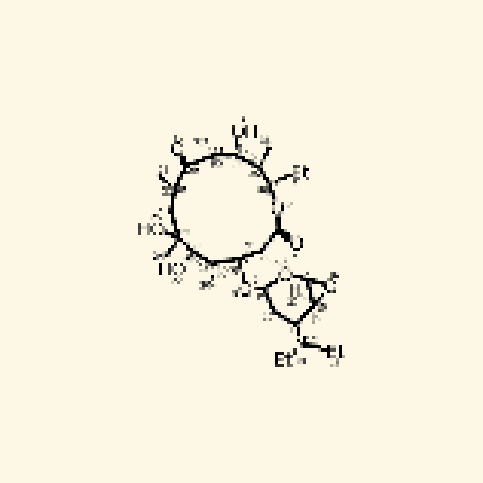 CC[C@H]1OC(=O)[C@H](C)[C@@H](O[C@H]2CC(N(CC)CC)[C@@H]3OC3O2)[C@H](C)[C@@H](O)[C@](C)(O)C[C@@H](C)C(=O)[C@H](C)[C@@H](O)[C@H]1C